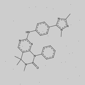 Cc1nc(-c2ccc(Nc3ncc4c(n3)N(c3ccccc3)C(=O)N(C)C4(C)C)cc2)n(C)n1